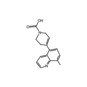 Cc1ccc(C2=CCN(C(=O)O)CC2)c2cccnc12